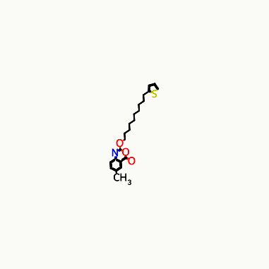 Cc1ccc2nc(OCCCCCCCCCCc3cccs3)oc(=O)c2c1